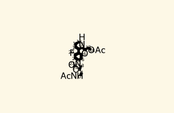 CC(=O)NC[C@H]1CN(c2ccc(C3=CCCNC3C(=O)COC(C)=O)c(F)c2)C(=O)O1